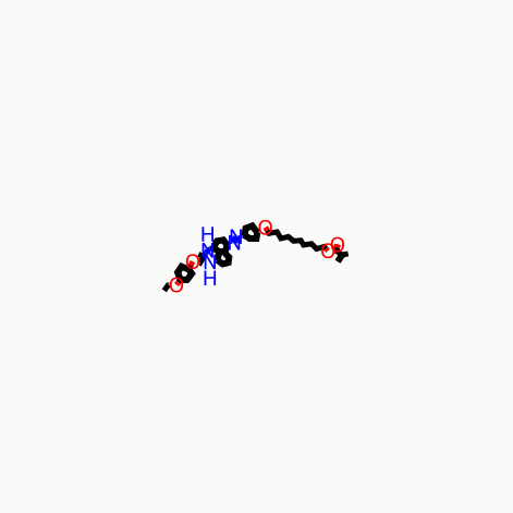 C=C(C)C(=O)OCCCCCCCCCCOc1ccc(/N=N/c2ccc3c4c(cccc24)NC(C)(COc2ccc(OCC)cc2)N3)cc1